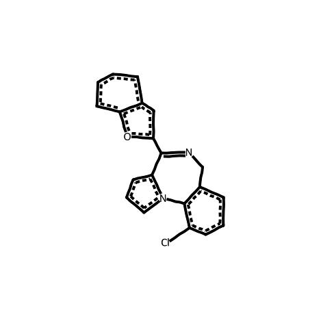 Clc1cccc2c1-n1cccc1C(c1cc3ccccc3o1)=NC2